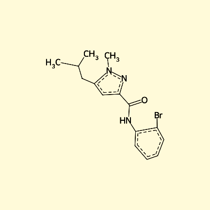 CC(C)Cc1cc(C(=O)Nc2ccccc2Br)nn1C